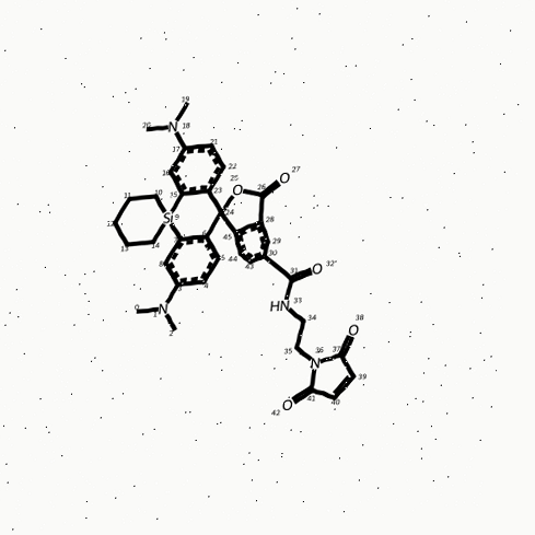 CN(C)c1ccc2c(c1)[Si]1(CCCCC1)c1cc(N(C)C)ccc1C21OC(=O)c2cc(C(=O)NCCN3C(=O)C=CC3=O)ccc21